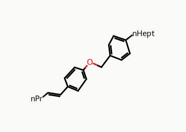 CCCC=Cc1ccc(OCc2ccc(CCCCCCC)cc2)cc1